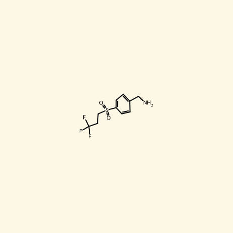 NCc1ccc(S(=O)(=O)CCC(F)(F)F)cc1